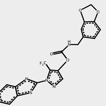 O=C(NCc1ccc2c(c1)OCO2)Oc1cnn(-c2nc3ccccc3s2)c1C(F)(F)F